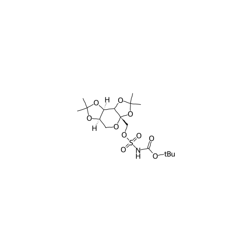 CC(C)(C)OC(=O)NS(=O)(=O)OC[C@@]12OC[C@H]3OC(C)(C)O[C@H]3C1OC(C)(C)O2